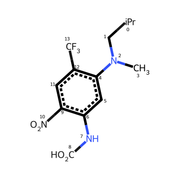 CC(C)CN(C)c1cc(NC(=O)O)c([N+](=O)[O-])cc1C(F)(F)F